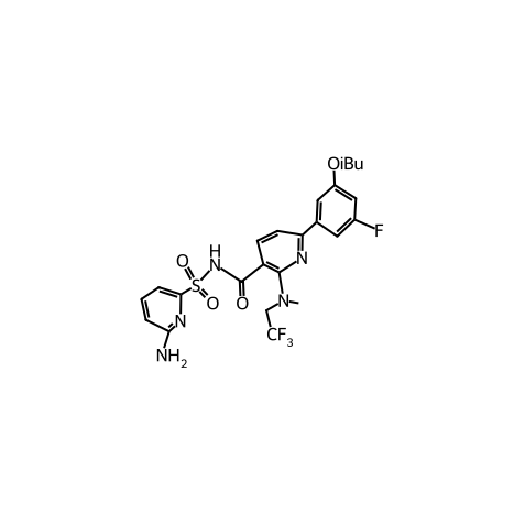 CC(C)COc1cc(F)cc(-c2ccc(C(=O)NS(=O)(=O)c3cccc(N)n3)c(N(C)CC(F)(F)F)n2)c1